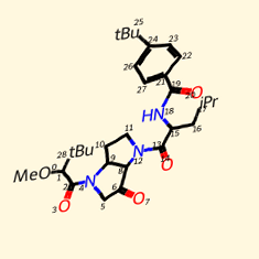 COC(C(=O)N1CC(=O)C2C1CCN2C(=O)C(CC(C)C)NC(=O)c1ccc(C(C)(C)C)cc1)C(C)(C)C